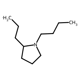 [CH2]CCC1CCCN1CCCC